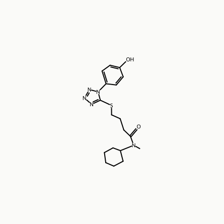 CN(C(=O)CCCSc1nnnn1-c1ccc(O)cc1)C1CCCCC1